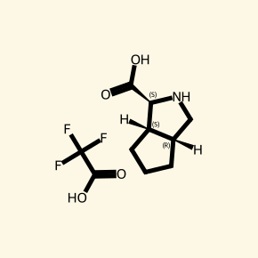 O=C(O)C(F)(F)F.O=C(O)[C@H]1NC[C@@H]2CCC[C@@H]21